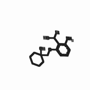 CCC(O)c1c(N)cccc1OCC1(O)CCCCC1